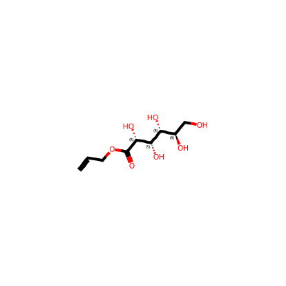 C=CCOC(=O)[C@H](O)[C@@H](O)[C@H](O)[C@H](O)CO